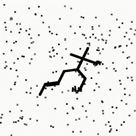 CC=CCC(CN)C(C)(C)CCC